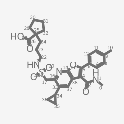 CNC(=O)c1c(-c2ccc(C)cc2)oc2nc(CS(=O)(=O)NCCCC3(C(=O)O)CCCC3)c(C3CC3)cc12